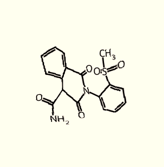 CS(=O)(=O)c1ccccc1N1C(=O)c2ccccc2C(C(N)=O)C1=O